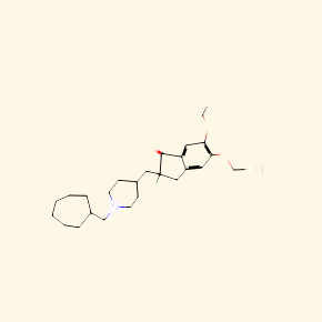 CCOc1cc2c(cc1OCC)C(=O)C(F)(CC1CCN(CC3CCCCCC3)CC1)C2.Cl